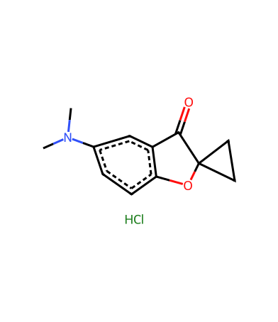 CN(C)c1ccc2c(c1)C(=O)C1(CC1)O2.Cl